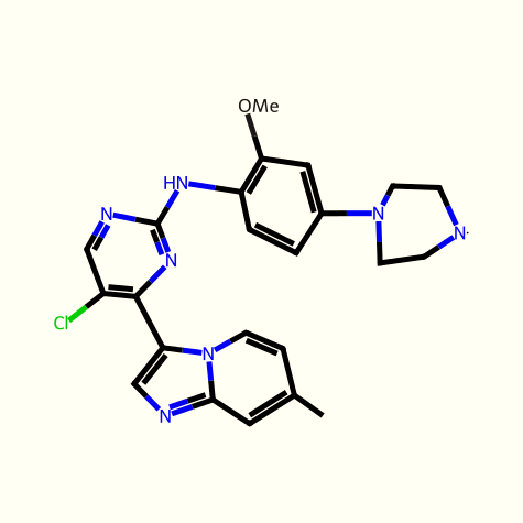 COc1cc(N2CC[N]CC2)ccc1Nc1ncc(Cl)c(-c2cnc3cc(C)ccn23)n1